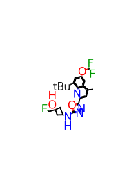 Cc1cc(-c2nnc(N[C@H]3C[C@](O)(CF)C3)o2)nc2c(C(C)(C)C)cc(OC(F)F)cc12